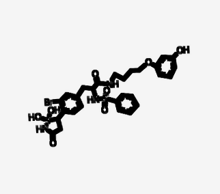 O=C1CC(c2ccc(CC(NS(=O)(=O)c3ccccc3)C(=O)NCCCCOc3cccc(O)c3)cc2Br)S(O)(O)N1